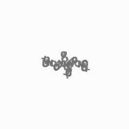 COc1cccc(N2CC3(CCN(C(=O)OC(C)(C)C)CC3)OCC2c2cc(OC(C)C)nc(N3CCOC4(CCN(C(=O)OC(C)(C)C)CC4)C3)n2)c1